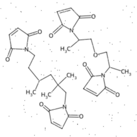 CC(CCN1C(=O)C=CC1=O)CC(C)(C)CN1C(=O)C=CC1=O.CC(COCC(C)N1C(=O)C=CC1=O)N1C(=O)C=CC1=O